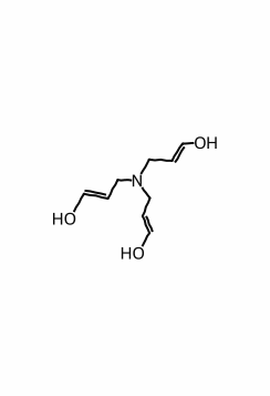 OC=CCN(CC=CO)CC=CO